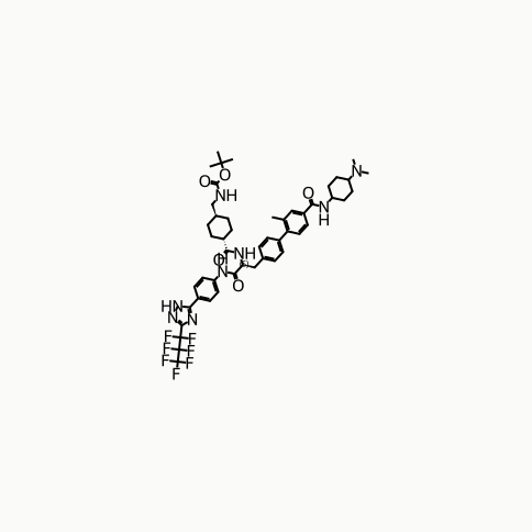 Cc1cc(C(=O)NC2CCC(N(C)C)CC2)ccc1-c1ccc(C[C@H](NC(=O)[C@H]2CC[C@H](CNC(=O)OC(C)(C)C)CC2)C(=O)Nc2ccc(-c3nc(C(F)(F)C(F)(F)C(F)(F)F)n[nH]3)cc2)cc1